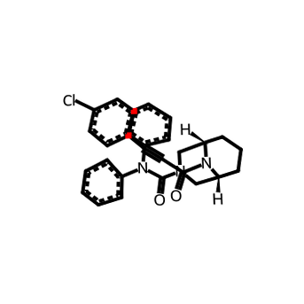 O=C(N1C[C@H]2CCC[C@@H](C1)N2C(=O)C#Cc1ccc(Cl)cc1)N(c1ccccc1)c1ccccc1